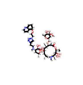 CC[C@H]1OC(=O)[C@H](C)[C@@H](OC[C@H]2C[C@@](C)(OC)[C@@H](O)[C@H](C)O2)[C@H](C)[C@@H](O[C@@H]2O[C@H](C)C[C@H](N(C)CCc3cn(CCOc4cccc5ncccc45)nn3)[C@H]2O)[C@](C)(O)C[C@@H](C)CN(C)[C@H](C)[C@@H](O)[C@]1(C)O